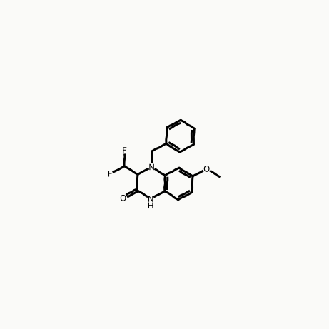 COc1ccc2c(c1)N(Cc1ccccc1)C(C(F)F)C(=O)N2